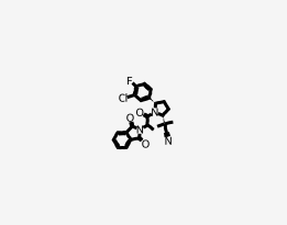 CC(C(=O)N1[C@H](c2ccc(F)c(Cl)c2)CC[C@@H]1C(C)(C)C#N)N1C(=O)c2ccccc2C1=O